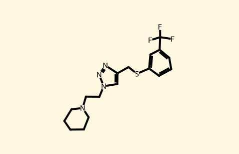 FC(F)(F)c1cccc(SCc2cn(CCN3CCCCC3)nn2)c1